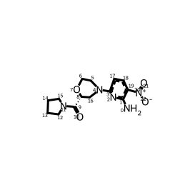 Nc1nc(N2CCO[C@@H](C(=O)N3CCCC3)C2)ccc1[N+](=O)[O-]